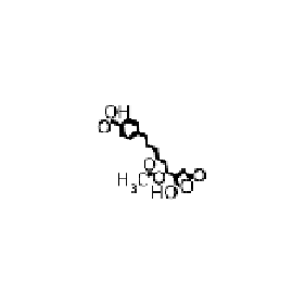 CC(=O)OC(CCCCCc1ccc(C(=O)O)cc1)C1=CC(=O)OC1O